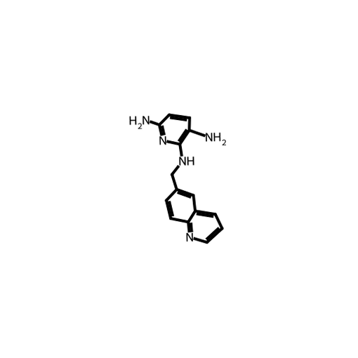 Nc1ccc(N)c(NCc2ccc3ncccc3c2)n1